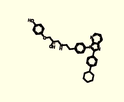 Oc1ccc(OC[C@H](O)CNCCc2ccc(-n3c(-c4ccc(C5CCCCC5)cc4)nc4cccnc43)cc2)cc1